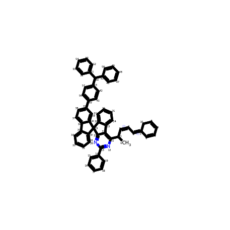 CC(/C=C\C=C1\C=CC=CC1)c1nc(-c2ccccc2)nc2c1-c1ccccc1C21c2ccccc2-c2ccc(-c3ccc(C(c4ccccc4)c4ccccc4)cc3)cc21